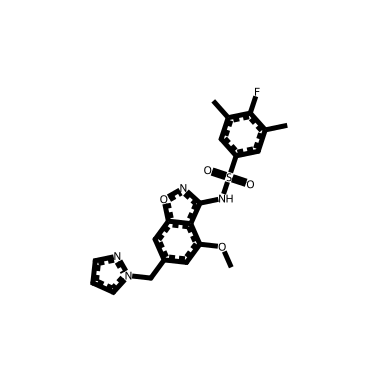 COc1cc(Cn2cccn2)cc2onc(NS(=O)(=O)c3cc(C)c(F)c(C)c3)c12